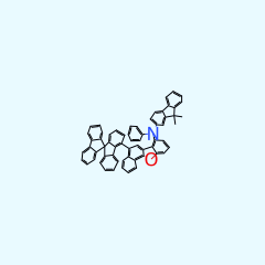 CC1(C)c2ccccc2-c2ccc(N(c3ccccc3)c3cccc4oc5c6ccccc6c(-c6cccc7c6-c6ccccc6C76c7ccccc7-c7ccccc76)cc5c34)cc21